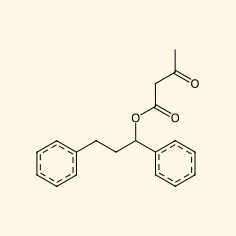 CC(=O)CC(=O)OC(CCc1ccccc1)c1ccccc1